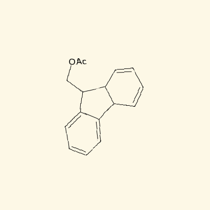 CC(=O)OCC1c2ccccc2C2C=CC=CC21